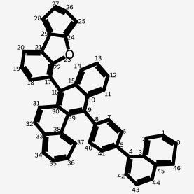 c1ccc2c(-c3ccc(-c4c5ccccc5c(-c5cccc6c5oc5ccccc56)c5ccc6ccccc6c45)cc3)cccc2c1